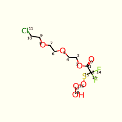 O=C(OCCOCCOCCCl)C(F)(F)SOOO